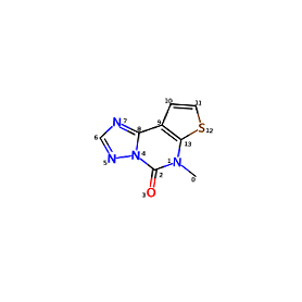 Cn1c(=O)n2ncnc2c2ccsc21